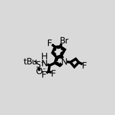 CC(C)(C)[S@+]([O-])NC(c1cn(C2CC(F)C2)c2cc(Br)c(F)cc12)C(F)F